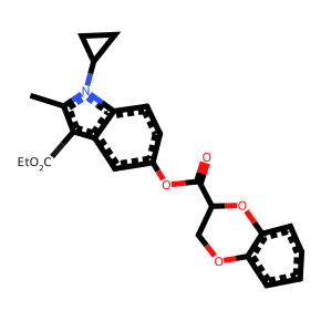 CCOC(=O)c1c(C)n(C2CC2)c2ccc(OC(=O)C3COc4ccccc4O3)cc12